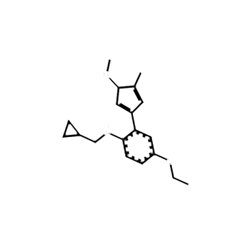 CCSc1ccc(NCC2CC2)c(C2=CC(NC)C(C)=C2)c1